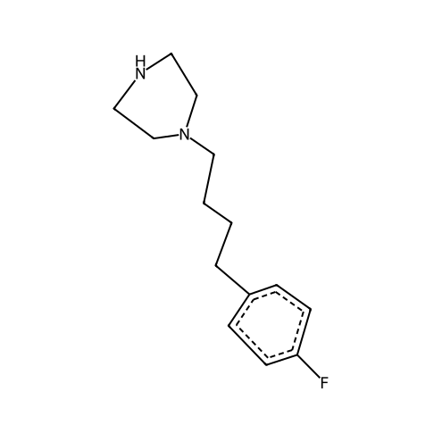 Fc1ccc(CCCCN2CCNCC2)cc1